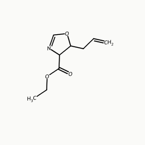 C=CCC1OC=NC1C(=O)OCC